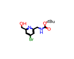 CC(C)(C)OC(=O)NCc1cc(Br)cc(CO)n1